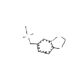 C[N+](Cc1ccc2c(c1)OCO2)(C(=O)[O-])[N+](=O)[O-]